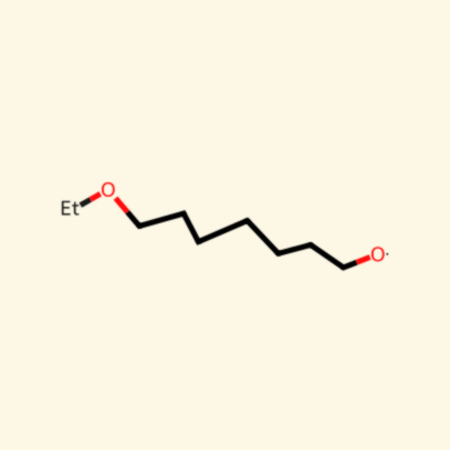 CCOCCCCCCC[O]